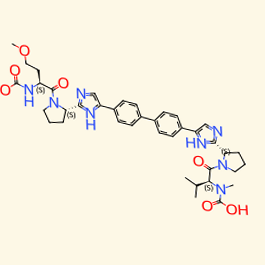 COCC[C@H](NC(=O)OC)C(=O)N1CCC[C@H]1c1ncc(-c2ccc(-c3ccc(-c4cnc([C@@H]5CCCN5C(=O)[C@H](C(C)C)N(C)C(=O)O)[nH]4)cc3)cc2)[nH]1